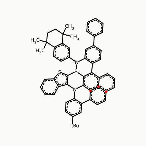 CC(C)(C)c1ccc(N2c3cc4ccccc4c4c3B(c3sc5ccccc5c32)N(c2ccc3c(c2)C(C)(C)CCC3(C)C)c2cc(-c3ccccc3)ccc2-4)c(-c2ccccc2)c1